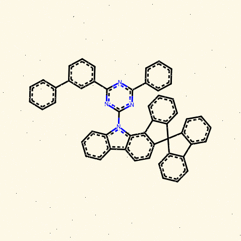 c1ccc(-c2cccc(-c3nc(-c4ccccc4)nc(-n4c5ccccc5c5ccc6c(c54)-c4ccccc4C64c5ccccc5-c5ccccc54)n3)c2)cc1